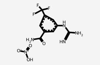 N=C(N)Nc1cc(C(N)=O)cc(C(F)(F)F)c1.O=[N+]([O-])O